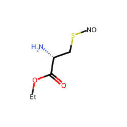 CCOC(=O)[C@H](N)CSN=O